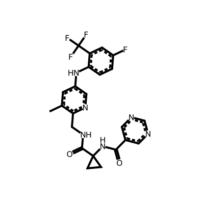 Cc1cc(Nc2ccc(F)cc2C(F)(F)F)cnc1CNC(=O)C1(NC(=O)c2cncnc2)CC1